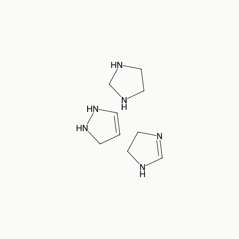 C1=CNNC1.C1=NCCN1.C1CNCN1